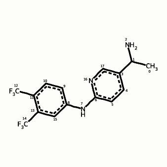 CC(N)c1ccc(Nc2ccc(C(F)(F)F)c(C(F)(F)F)c2)nc1